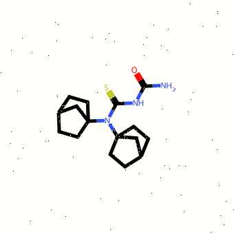 NC(=O)NC(=S)N(C12CCC(CC1)C2)C12CCC(CC1)C2